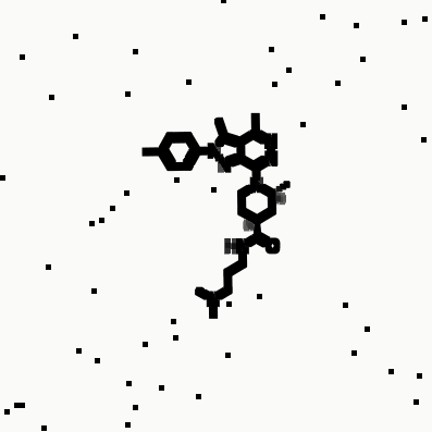 Cc1ccc(-n2nc3c(N4CC[C@H](C(=O)NCCCN(C)C)C[C@H]4C)nnc(C)c3c2C)cc1